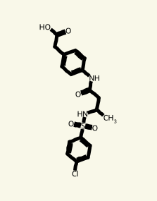 CC(CC(=O)Nc1ccc(CC(=O)O)cc1)NS(=O)(=O)c1ccc(Cl)cc1